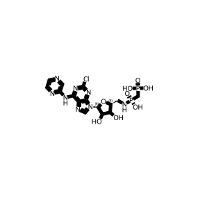 O=P(O)(O)CP(=O)(O)NC[C@H]1O[C@@H](n2cnc3c(Nc4cnccn4)nc(Cl)nc32)C(O)C1O